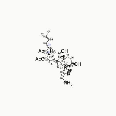 CC(=O)O[C@H]1C[C@@]2(C)[C@@H](C[C@@H](O)[C@@H]3[C@]2(C)CC[C@@]2(n4cc(CN)nn4)[C@H](C)[C@H](O)CC[C@]32C)/C1=C(\C=C\C=C(C)C)C(C)=O